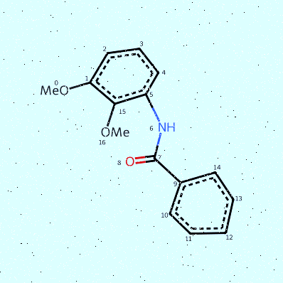 COc1cccc(NC(=O)c2ccccc2)c1OC